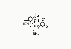 COc1cc(OC)c(C=CS(=O)(=O)Nc2ccc(OC)c([C@](N)(CCCCN)C(=O)O)c2)c(OC)c1